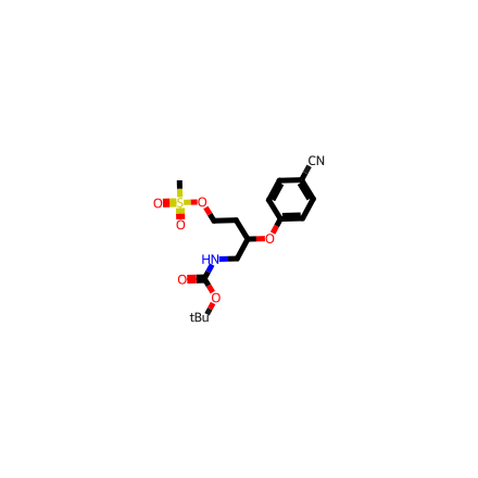 CC(C)(C)OC(=O)NCC(CCOS(C)(=O)=O)Oc1ccc(C#N)cc1